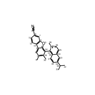 Cc1cc2c(oc3cc(C#N)ccc32)c(-c2c3ccc(C(C)C)cc3cc[n+]2C)c1C